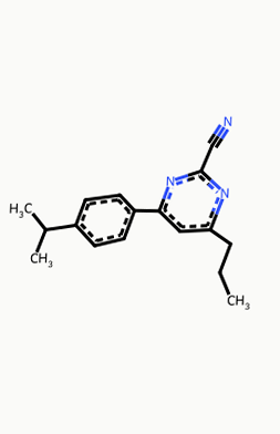 CCCc1cc(-c2ccc(C(C)C)cc2)nc(C#N)n1